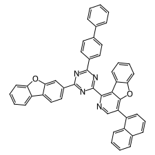 c1ccc(-c2ccc(-c3nc(-c4ccc5c(c4)oc4ccccc45)nc(-c4ncc(-c5cccc6ccccc56)c5oc6ccccc6c45)n3)cc2)cc1